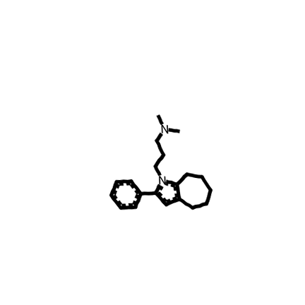 CN(C)CCCn1c(-c2ccccc2)cc2c1CCCCC2